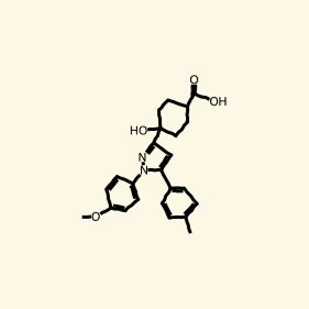 COc1ccc(-n2nc(C3(O)CCC(C(=O)O)CC3)cc2-c2ccc(C)cc2)cc1